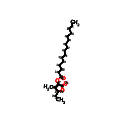 CCCCCCCCCCCCCCCC(=O)OC1=C(C)C(CC)OC1=O